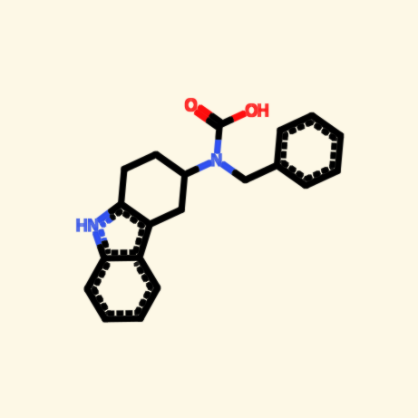 O=C(O)N(Cc1ccccc1)C1CCc2[nH]c3ccccc3c2C1